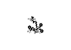 Cc1nc2ccccc2c2c1O[C@]1(CC2)C[C@@H](C(N)=O)N(C(=O)[C@H](CCCCC/C=C\[C@@H]2C[C@@H]2C(=O)NC2(C)CC2)N(CCc2ccccc2)CCc2ccccc2)C1